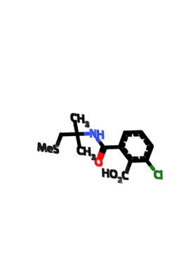 CSCC(C)(C)NC(=O)c1cccc(Cl)c1C(=O)O